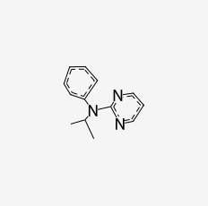 CC(C)N(c1ccccc1)c1ncccn1